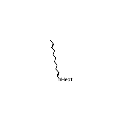 [CH2]CCCCCCC=CCCCCCCC=CC